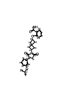 NC(=O)c1cccnc1O[C@H]1CC2(C1)C[C@H](N1C(=O)CN(c3cccc(OC(F)F)c3)C1=O)C2